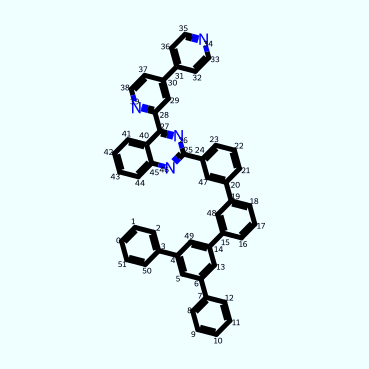 c1ccc(-c2cc(-c3ccccc3)cc(-c3cccc(-c4cccc(-c5nc(-c6cc(-c7ccncc7)ccn6)c6ccccc6n5)c4)c3)c2)cc1